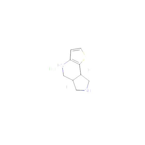 Cl.c1cc2c(s1)[C@H]1CNC[C@H]1CN2